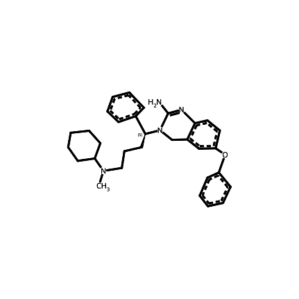 CN(CCC[C@@H](c1ccccc1)N1Cc2cc(Oc3ccccc3)ccc2N=C1N)C1CCCCC1